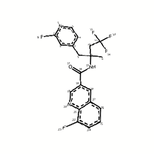 CC(Cc1ccnc(F)c1)(CC(F)(F)F)NC(=O)c1cnc2c(F)cccc2c1